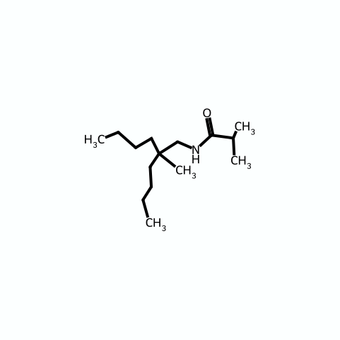 CCCCC(C)(CCCC)CNC(=O)C(C)C